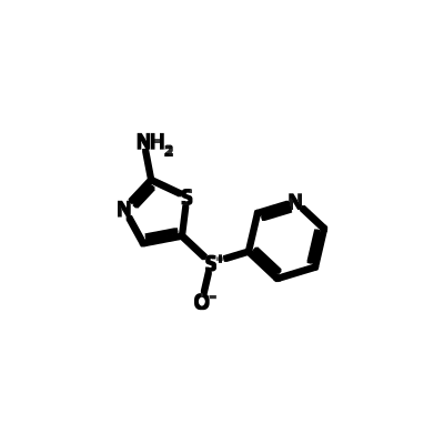 Nc1ncc([S+]([O-])c2cccnc2)s1